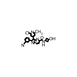 Cc1cc(-c2c(-c3cccc(C#N)c3)nn3ccc(C(=O)N[C@H]4C[C@@H](O)C4)nc23)cc(Cl)n1